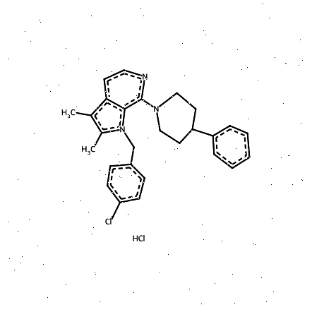 Cc1c(C)n(Cc2ccc(Cl)cc2)c2c(N3CCC(c4ccccc4)CC3)nccc12.Cl